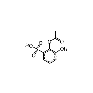 CC(=O)Oc1c(O)cccc1S(=O)(=O)O